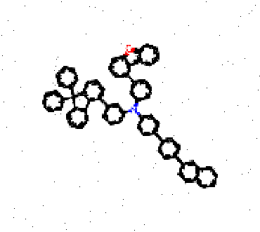 c1ccc(C2(c3ccccc3)c3ccccc3-c3c(-c4cccc(N(c5ccc(-c6ccc(-c7ccc8ccccc8c7)cc6)cc5)c5cccc(-c6cccc7oc8ccccc8c67)c5)c4)cccc32)cc1